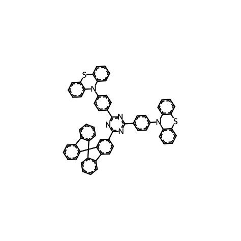 c1ccc2c(c1)Sc1ccccc1N2c1ccc(-c2nc(-c3ccc(N4c5ccccc5Sc5ccccc54)cc3)nc(-c3ccc4c(c3)C3(c5ccccc5-c5ccccc53)c3ccccc3-4)n2)cc1